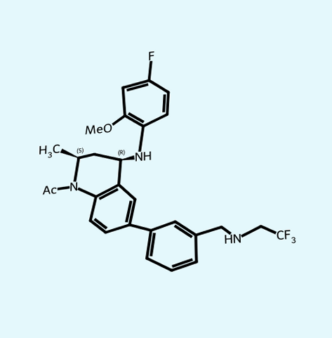 COc1cc(F)ccc1N[C@@H]1C[C@H](C)N(C(C)=O)c2ccc(-c3cccc(CNCC(F)(F)F)c3)cc21